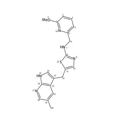 COc1cccc(CNc2ncc(Cc3c[nH]c4ncc(C)cc34)s2)n1